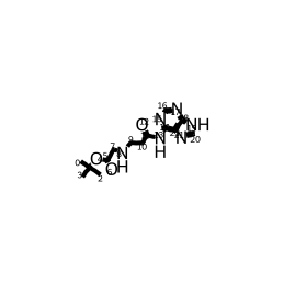 CC(C)(C)OC(=O)CNCCC(=O)Nc1ncnc2[nH]cnc12